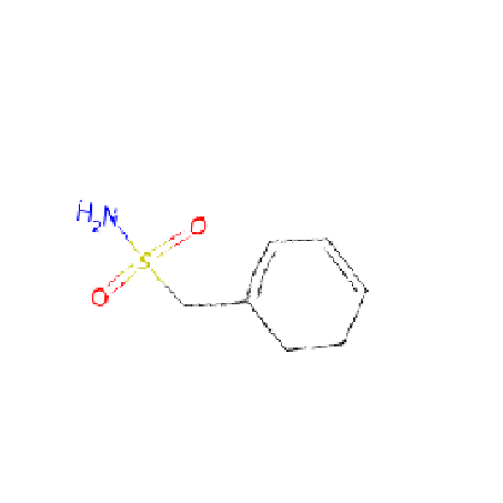 NS(=O)(=O)CC1=CC=CCC1